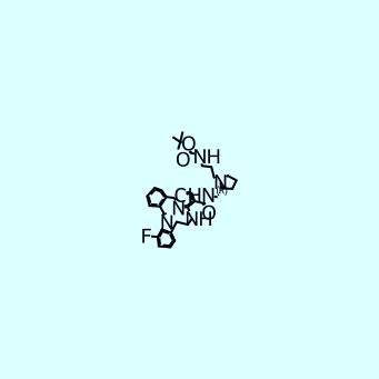 CC(C)(C)OC(=O)NCCCN1CCC[C@@H]1CNC(=O)c1ccc(-c2ccccc2C#N)nc1NCCc1cccc(F)c1